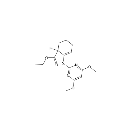 CCOC(=O)C1(F)CCCC=C1Sc1nc(OC)cc(OC)n1